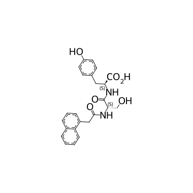 O=C(Cc1cccc2ccccc12)N[C@@H](CO)C(=O)N[C@@H](Cc1ccc(O)cc1)C(=O)O